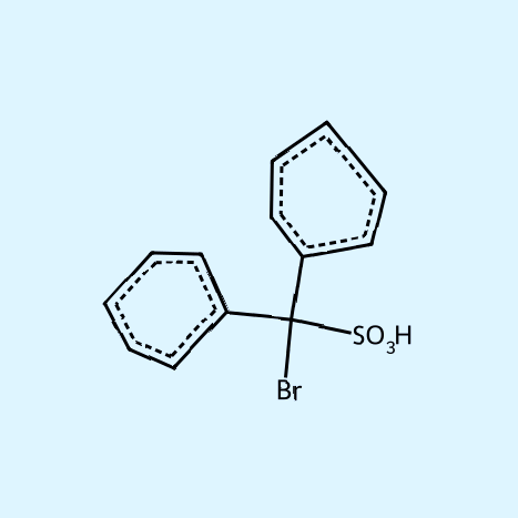 O=S(=O)(O)C(Br)(c1ccccc1)c1ccccc1